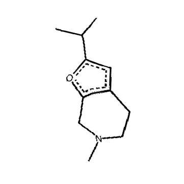 CC(C)c1cc2c(o1)CN(C)CC2